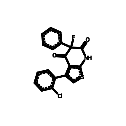 O=C1Nc2scc(-c3ccccc3Cl)c2C(=O)C1(F)c1ccccc1